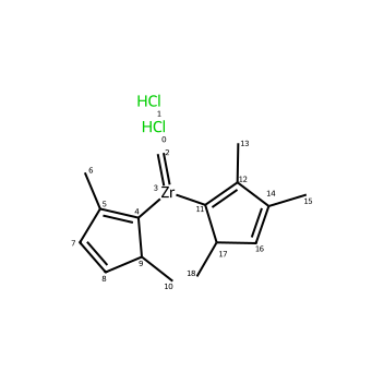 Cl.Cl.[CH2]=[Zr]([C]1=C(C)C=CC1C)[C]1=C(C)C(C)=CC1C